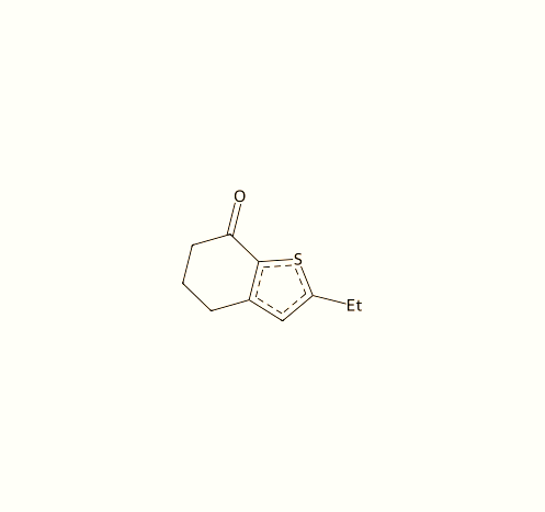 CCc1cc2c(s1)C(=O)CCC2